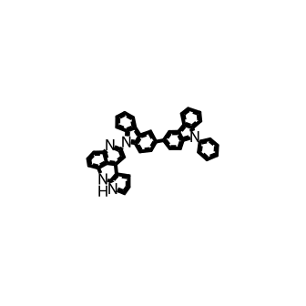 c1ccc(-n2c3ccccc3c3cc(-c4ccc5c(c4)c4ccccc4n5-c4cc5c6c(cccc6n4)Nc4ncccc4-5)ccc32)cc1